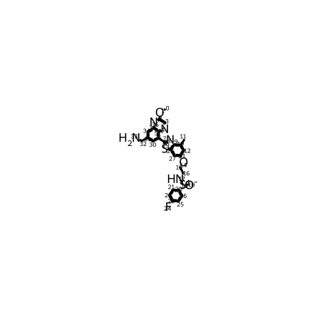 COc1cnc2c(-c3nc4c(C)cc(OCCN[S+]([O-])c5ccc(F)cc5)cc4s3)cc(CN)cc2n1